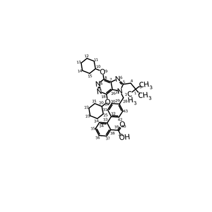 CC(C)(C)Cc1nc2c(OC3CCCCC3)nnc(OC3CCCCC3)c2n1Cc1ccc(-c2ccccc2C(=O)O)cc1